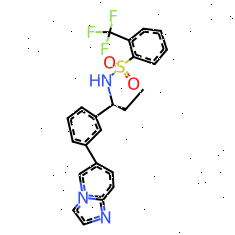 CC[C@H](NS(=O)(=O)c1ccccc1C(F)(F)F)c1cccc(-c2ccc3nccn3c2)c1